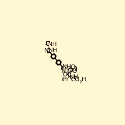 CC(C)[C@H](NC(=O)O)C(=O)N1CC2(C[C@H]1c1ncc(-c3ccc(-c4ccc(-c5cnc([C@@H]6CCCN6)[nH]5)cc4)cc3)[nH]1)OCCO2